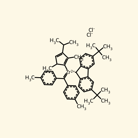 CC1=[C]([Zr+2](=[C](c2ccc(C)cc2)c2ccc(C)cc2)[CH]2c3ccc(C(C)(C)C)cc3-c3cc(C(C)(C)C)ccc32)C(C)C=C1C(C)C.[Cl-].[Cl-]